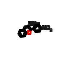 CNC(=Cc1ccccc1)C(=O)c1ccc([N+](=O)[O-])cc1